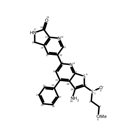 COCC[S+]([O-])c1sc2nc(-c3cnc4c(c3)CNC4=O)cc(-c3ccccc3)c2c1N